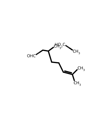 CC(=O)O.CC(C)=CCCC(C)CC=O